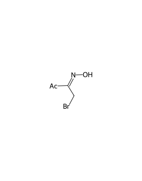 CC(=O)/C(CBr)=N/O